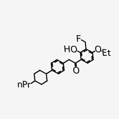 CCCC1CCC(c2ccc(CC(=O)c3ccc(OCC)c(CF)c3O)cc2)CC1